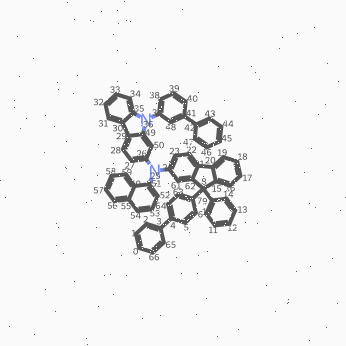 c1ccc(-c2ccc(C3(c4ccccc4)c4ccccc4-c4ccc(N(c5ccc6c7ccccc7n(-c7cccc(-c8ccccc8)c7)c6c5)c5cccc6ccccc56)cc43)cc2)cc1